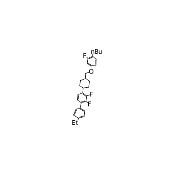 CCCCc1ccc(OCC2CCC(c3ccc(-c4ccc(CC)cc4)c(F)c3F)CC2)cc1F